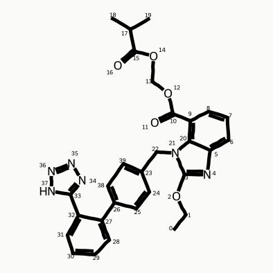 CCOc1nc2cccc(C(=O)OCOC(=O)C(C)C)c2n1Cc1ccc(-c2ccccc2-c2nnn[nH]2)cc1